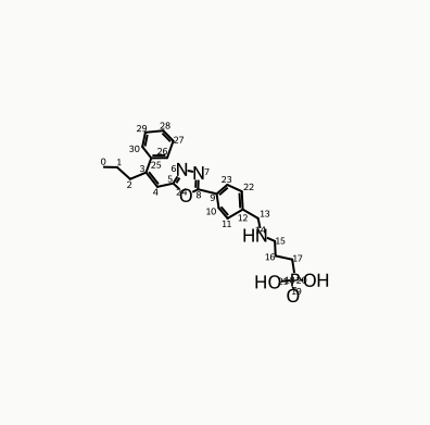 CCC/C(=C/c1nnc(-c2ccc(CNCCCP(=O)(O)O)cc2)o1)c1ccccc1